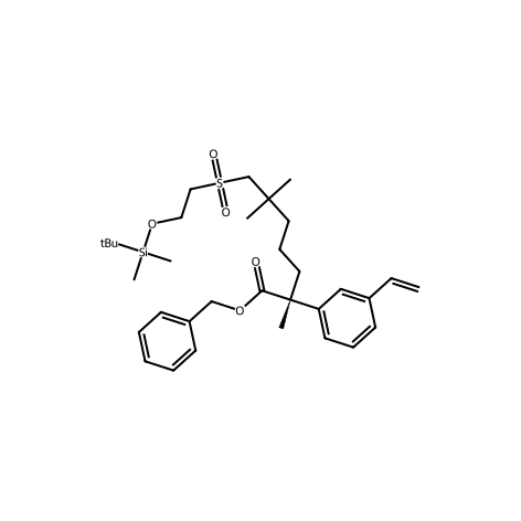 C=Cc1cccc([C@@](C)(CCCC(C)(C)CS(=O)(=O)CCO[Si](C)(C)C(C)(C)C)C(=O)OCc2ccccc2)c1